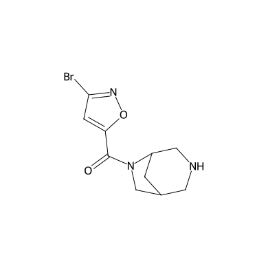 O=C(c1cc(Br)no1)N1CC2CNCC1C2